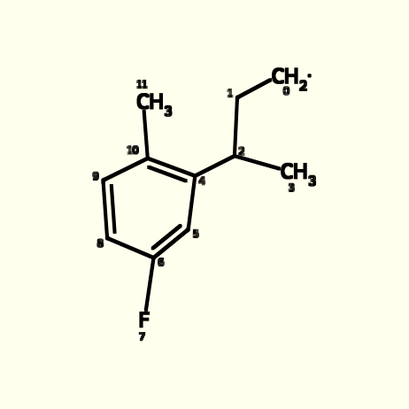 [CH2]CC(C)c1cc(F)ccc1C